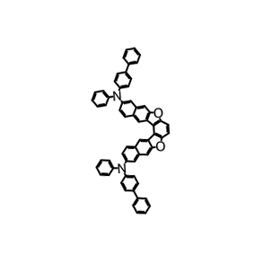 c1ccc(-c2ccc(N(c3ccccc3)c3ccc4cc5c(cc4c3)oc3ccc4oc6cc7cc(N(c8ccccc8)c8ccc(-c9ccccc9)cc8)ccc7cc6c4c35)cc2)cc1